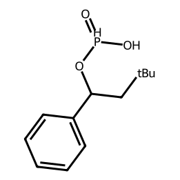 CC(C)(C)CC(O[PH](=O)O)c1ccccc1